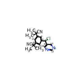 CC(C)(C#N)c1cc(C(Cl)c2cncnc2)cc(C(C)(C)C#N)c1